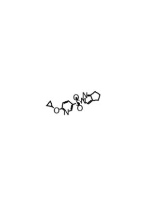 O=S(=O)(c1ccc(OC2CC2)nc1)n1cc2c(n1)CCC2